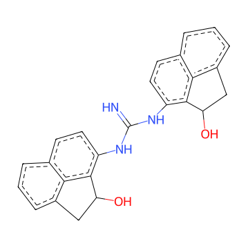 N=C(Nc1ccc2cccc3c2c1C(O)C3)Nc1ccc2cccc3c2c1C(O)C3